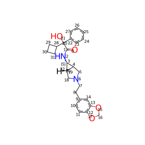 O=C(N[C@H]1C2CN(CCc3ccc4c(c3)OCO4)C[C@@H]21)C(O)(c1ccccc1)C1CCC1